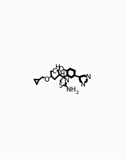 NC1=N[C@@]2(CS1)c1cc(-c3cncnc3)ccc1O[C@H]1CC[C@H](OCC3CC3)C[C@@H]12